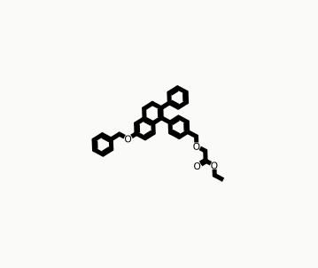 CCOC(=O)COCc1ccc(C2=C(c3ccccc3)CCc3cc(OCc4ccccc4)ccc32)cc1